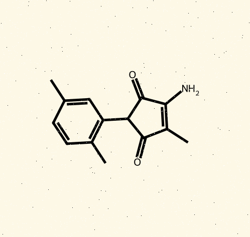 CC1=C(N)C(=O)C(c2cc(C)ccc2C)C1=O